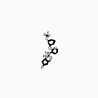 O=C(Nc1ccc(F)cc1F)Nc1cccnc1Oc1cccc(OC(F)(F)F)c1